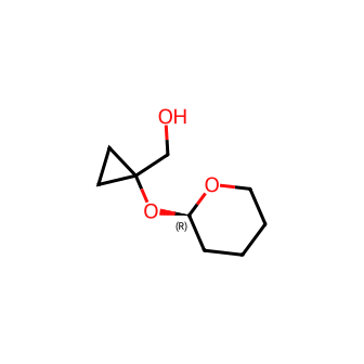 OCC1(O[C@@H]2CCCCO2)CC1